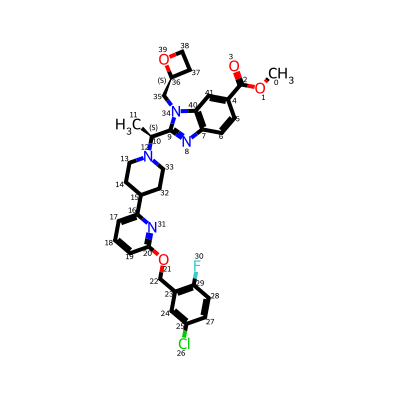 COC(=O)c1ccc2nc([C@H](C)N3CCC(c4cccc(OCc5cc(Cl)ccc5F)n4)CC3)n(C[C@@H]3CCO3)c2c1